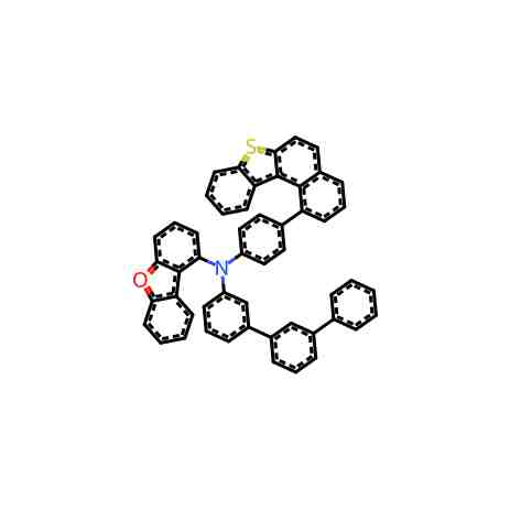 c1ccc(-c2cccc(-c3cccc(N(c4ccc(-c5cccc6ccc7sc8ccccc8c7c56)cc4)c4cccc5oc6ccccc6c45)c3)c2)cc1